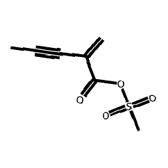 C=C(C#CC)C(=O)OS(C)(=O)=O